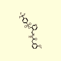 COc1cccc(CC(=O)NN=Cc2ccncc2OS(=O)(=O)c2ccc(C(F)(F)F)cc2)c1